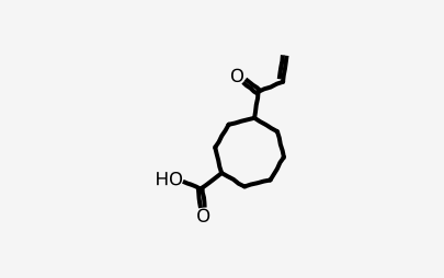 C=CC(=O)C1CCCCC(C(=O)O)CC1